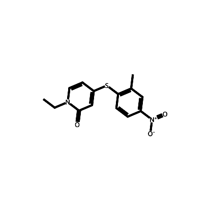 CCn1ccc(Sc2ccc([N+](=O)[O-])cc2C)cc1=O